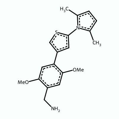 COc1cc(-c2csc(-n3c(C)ccc3C)c2)c(OC)cc1CN